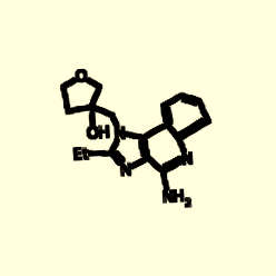 CCc1nc2c(N)nc3ccccc3c2n1CC1(O)CCOC1